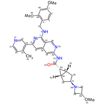 COc1ccc(CNc2nc(-c3cnccc3C)cc3cc(NC(=O)[C@@H]4[C@@H]5C[C@@H](N6CC(OC)C6)C[C@@H]54)ncc23)c(OC)c1